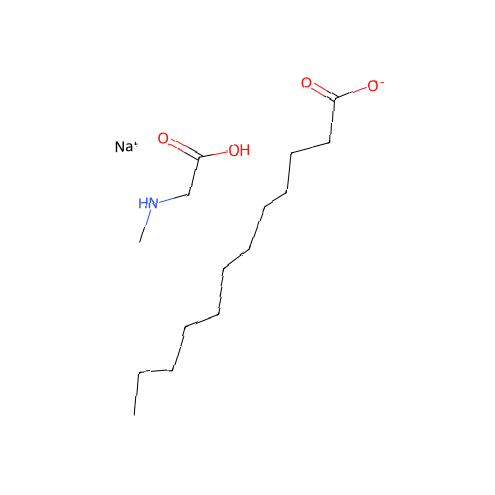 CCCCCCCCCCCC(=O)[O-].CNCC(=O)O.[Na+]